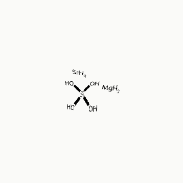 O[Si](O)(O)O.[MgH2].[SrH2]